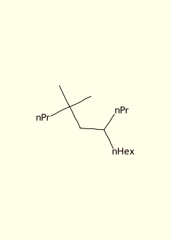 CCCCCCC(CCC)CC(C)(C)CCC